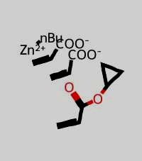 C=CC(=O)OC1CC1.C=CC(=O)[O-].C=CC(=O)[O-].CCC[CH2][Zn+2]